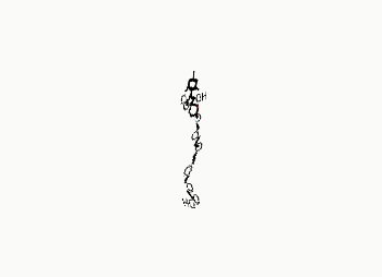 Cc1cc(C)c(C2=C(O)C3(CCC(OCCOCCOCCOCCOCC(=O)O)CC3)OC2=O)c(C)c1